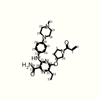 C=CC(=O)N1CC[C@H](Oc2nc(Nc3ccc(N4CCN(C)CC4)cc3)c(C(N)=O)nc2CC)C1